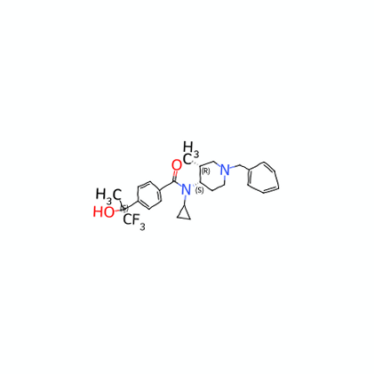 C[C@@H]1CN(Cc2ccccc2)CC[C@@H]1N(C(=O)c1ccc([C@](C)(O)C(F)(F)F)cc1)C1CC1